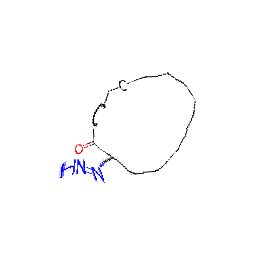 N=NC1CCCCCCCCCCCC1=O